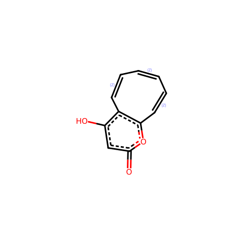 O=c1cc(O)c2c(o1)\C=C/C=C\C=C/2